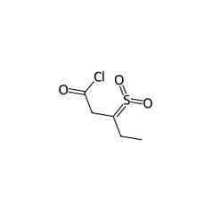 CCC(CC(=O)Cl)=S(=O)=O